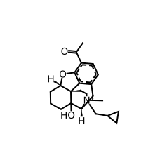 CC(=O)c1ccc2c3c1O[C@H]1CCCC4(O)[C@@H](C2)[N+](C)(CC2CC2)CC[C@]314